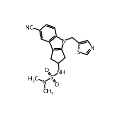 CN(C)S(=O)(=O)NC1Cc2c(n(Cc3cncs3)c3ccc(C#N)cc23)C1